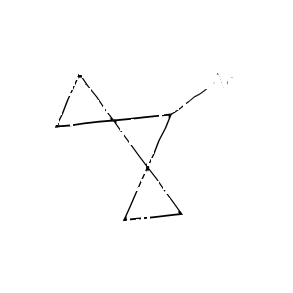 CC(=O)C1C2(CC2)C12CC2